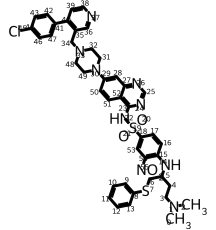 CN(C)CCC(CSc1ccccc1)Nc1ccc(S(=O)(=O)Nc2ncnc3cc(N4CCN(Cc5cnccc5-c5ccc(Cl)cc5)CC4)ccc23)cc1[N+](=O)[O-]